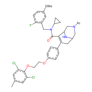 COc1ccc(F)c(CN(C(=O)C2=C(c3ccc(OCCOc4c(Cl)cc(C)cc4Cl)cc3)CC3CN(C(C)=O)CC2N3)C2CC2)c1